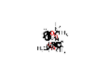 C=C(C)C(=O)OC12CC3CC(CC(C3)C1)C2.C=CC(=O)OC1C[C@H]2CC[C@@]1(C)C2(C)C